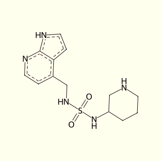 O=S(=O)(NCc1ccnc2[nH]ccc12)NC1CCCNC1